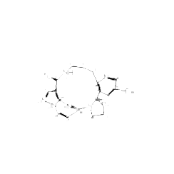 O=C1NCCCc2ncc(F)cc2[C@H]2CCCN2c2ccn3ncc1c3n2